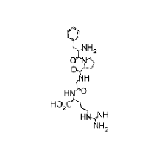 N=C(N)NCCC[C@H](NC(=O)CNC(=O)[C@@H]1CCCN1C(=O)[C@@H](N)Cc1ccccc1)C(=O)O